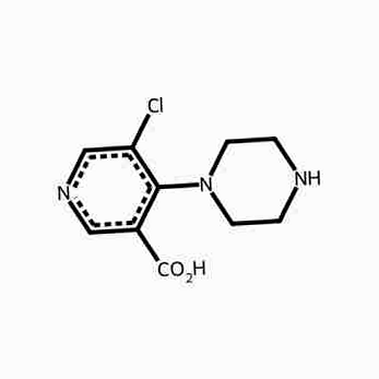 O=C(O)c1cncc(Cl)c1N1CCNCC1